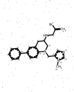 C=C(Br)CNC1Cc2cc(-c3ccccc3)ccc2N(Cc2cncn2C)C1